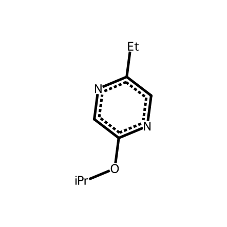 CCc1cnc(OC(C)C)cn1